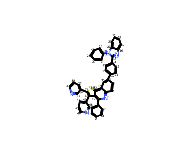 c1ccc(-c2nc3ccc(-c4ccc(-c5nc6ccccc6n5-c5ccccc5)cc4)cc3c3sc(-c4cccnc4)c(-c4cccnc4)c23)cc1